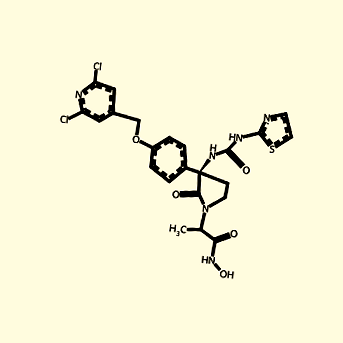 CC(C(=O)NO)N1CC[C@@](NC(=O)Nc2nccs2)(c2ccc(OCc3cc(Cl)nc(Cl)c3)cc2)C1=O